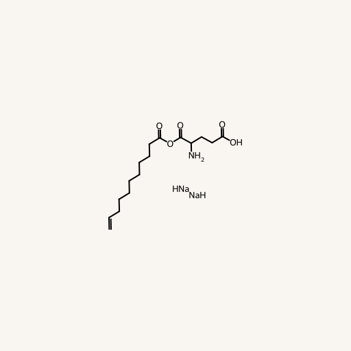 C=CCCCCCCCCC(=O)OC(=O)C(N)CCC(=O)O.[NaH].[NaH]